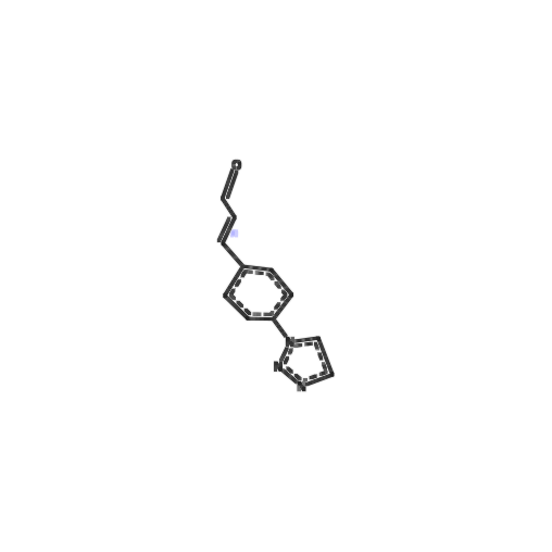 O=C/C=C/c1ccc(-n2ccnn2)cc1